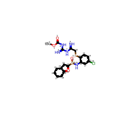 CC(C)(C)OC(=O)NC(=N)NC(=N)CSc1ccc(Cl)cc1N[S+]([O-])c1cc2ccccc2o1